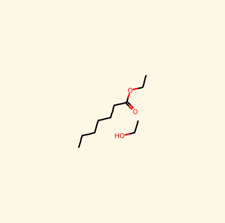 CCCCCCC(=O)OCC.CCO